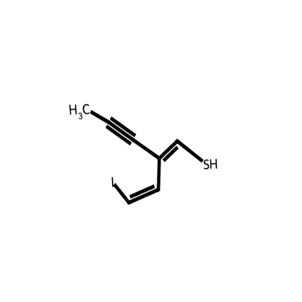 CC#CC(/C=C\I)=C/S